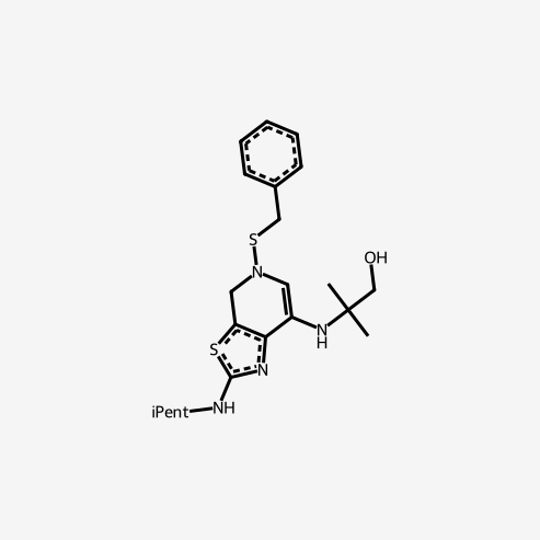 CCCC(C)Nc1nc2c(s1)CN(SCc1ccccc1)C=C2NC(C)(C)CO